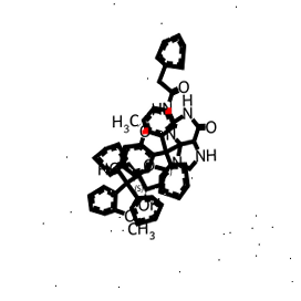 COc1ccccc1C(c1ccccc1)(c1ccccc1)C12N=C(NC(=O)Cc3ccccc3)NC(=O)C1NCN2[C@H]1C[C@H](O)[C@](CO)(C(c2ccccc2)(c2ccccc2)c2ccccc2OC)O1